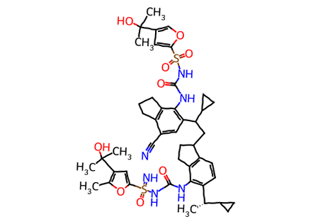 Cc1oc(S(=N)(=O)NC(=O)Nc2c([C@@H](C)C3CC3)ccc3c2CCC3CC(c2cc(C#N)c3c(c2NC(=O)NS(=O)(=O)c2cc(C(C)(C)O)co2)CCC3)C2CC2)cc1C(C)(C)O